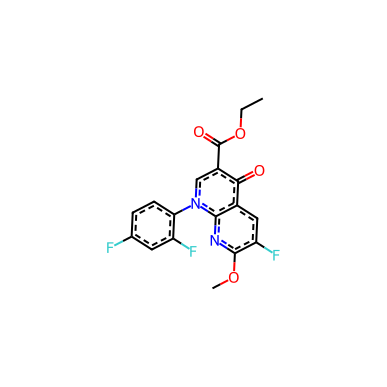 CCOC(=O)c1cn(-c2ccc(F)cc2F)c2nc(OC)c(F)cc2c1=O